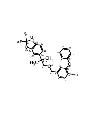 CC(C)(COCc1ccc(F)c(Oc2ccccc2)c1)c1ccc2c(c1)OC(F)(F)O2